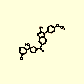 CC(C)c1nc2cc(C(=O)N3CCC(O)(c4cncc(Cl)c4)C3)ccc2n1-c1ccc(OC(F)(F)F)cc1